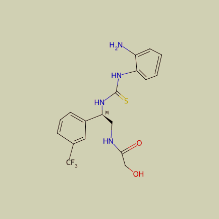 Nc1ccccc1NC(=S)N[C@@H](CNC(=O)CO)c1cccc(C(F)(F)F)c1